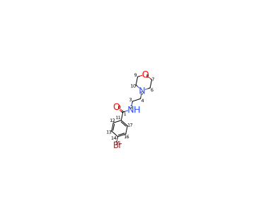 O=C(NCCN1CCOCC1)c1ccc(Br)cc1